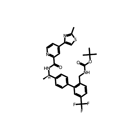 Cc1nc(-c2ccnc(C(=O)N[C@H](C)c3ccc(-c4cc(C(F)(F)F)ccc4CNC(=O)OC(C)(C)C)cc3)c2)cs1